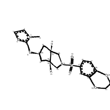 Cn1ccnc1S[C@H]1C[C@@H]2CN(S(=O)(=O)c3ccc4c(c3)OCCO4)C[C@@H]2C1